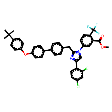 COC(=O)c1cc(-n2cc(-c3ccc(Cl)cc3Cl)nc2Cc2ccc(-c3ccc(Oc4ccc(C(C)(C)C)cc4)cc3)cc2)ccc1C(F)(F)F